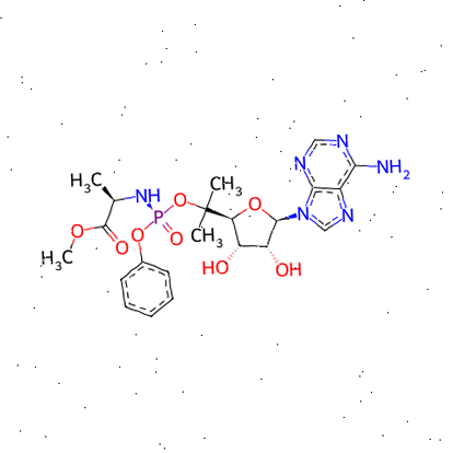 COC(=O)[C@@H](C)N[P@@](=O)(Oc1ccccc1)OC(C)(C)[C@H]1O[C@@H](n2cnc3c(N)ncnc32)[C@H](O)[C@@H]1O